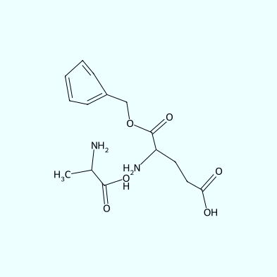 CC(N)C(=O)O.NC(CCC(=O)O)C(=O)OCc1ccccc1